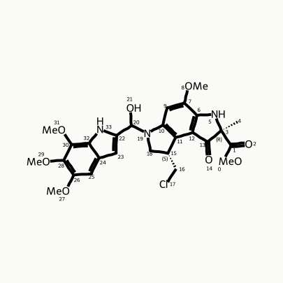 COC(=O)[C@]1(C)Nc2c(OC)cc3c(c2C1=O)[C@H](CCl)CN3C(O)c1cc2cc(OC)c(OC)c(OC)c2[nH]1